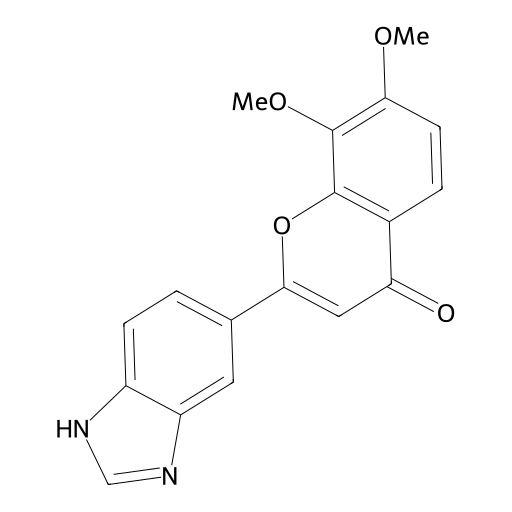 COc1ccc2c(=O)cc(-c3ccc4[nH]cnc4c3)oc2c1OC